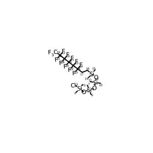 C[Si](C)(Cl)O[Si](C)(C)O[Si](C)(C)O[Si](C)(C)CCC(F)(F)C(F)(F)C(F)(F)C(F)(F)C(F)(F)C(F)(F)F